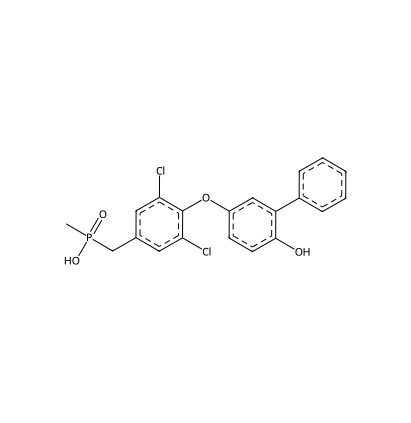 CP(=O)(O)Cc1cc(Cl)c(Oc2ccc(O)c(-c3ccccc3)c2)c(Cl)c1